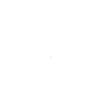 C=CCOc1c(C(C)(C)C)cccc1[Si](C)(C)C1c2ccccc2-c2ccccc21